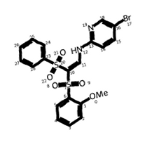 COc1ccccc1S(=O)(=O)C(=CNc1ccc(Br)cn1)S(=O)(=O)c1ccccc1